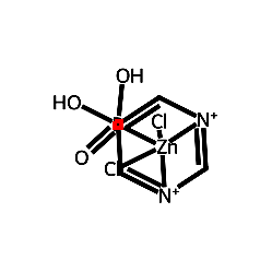 O=[P](O)(O)[Zn]1([Cl])([Cl])[n+]2ccc[n+]1c2